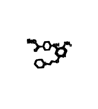 COC(=O)[C@H]1CC[C@@H](Nc2cc(OCCN3CCCCC3)ncc2N)CC1